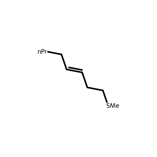 [CH2]CCCC=CCCSC